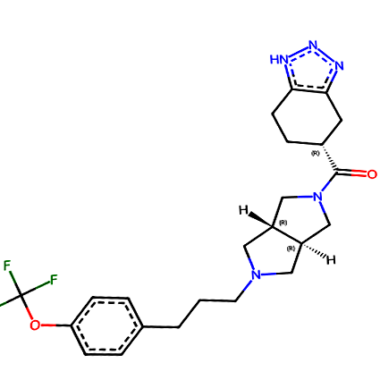 O=C([C@@H]1CCc2[nH]nnc2C1)N1C[C@H]2CN(CCCc3ccc(OC(F)(F)F)cc3)C[C@@H]2C1